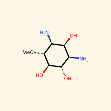 CO[C@@H]1[C@@H](N)[C@@H](O)[C@@H](N)[C@H](O)[C@H]1O